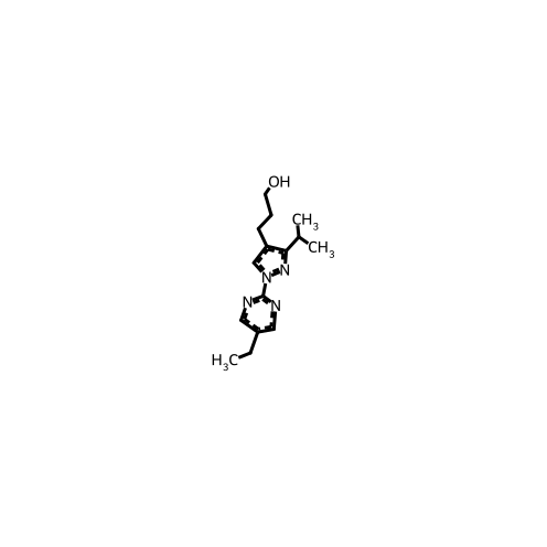 CCc1cnc(-n2cc(CCCO)c(C(C)C)n2)nc1